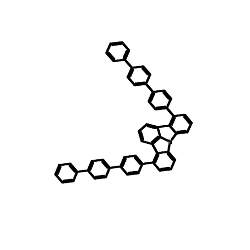 c1ccc(-c2ccc(-c3ccc(-c4cccc5c4c4cccc6c7c(-c8ccc(-c9ccc(-c%10ccccc%10)cc9)cc8)cccc7n5c46)cc3)cc2)cc1